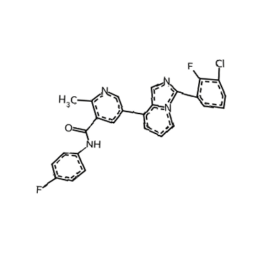 Cc1ncc(-c2cccn3c(-c4cccc(Cl)c4F)ncc23)cc1C(=O)Nc1ccc(F)cc1